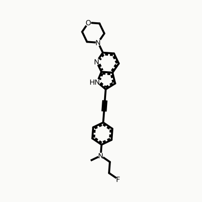 CN(CCF)c1ccc(C#Cc2cc3ccc(N4CCOCC4)nc3[nH]2)cc1